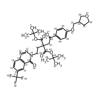 CC(C)(C)OC(=O)C(CCn1nnc2ccc(C(F)(F)F)cc2c1=O)(CC(=O)c1ccc(OCC2CCOC2)cc1)C(=O)OC(C)(C)C